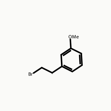 COc1cccc([CH]CBr)c1